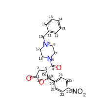 O=C1C[C@H](C(=O)N2CCN(Cc3ccccc3)CC2)[C@@H](c2ccc([N+](=O)[O-])cc2)O1